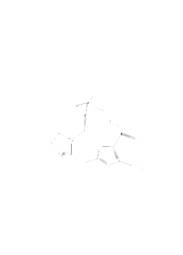 CC(=O)c1sc(OC2=NCCN2CC2CC2(F)F)nc1C